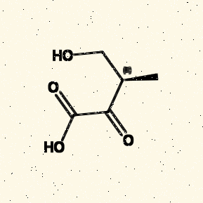 C[C@H](CO)C(=O)C(=O)O